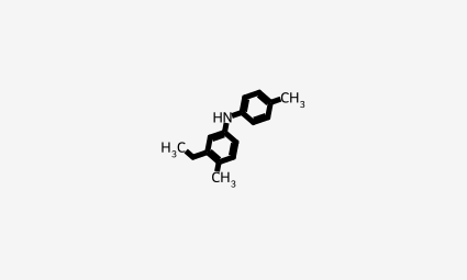 CCc1cc(Nc2ccc(C)cc2)ccc1C